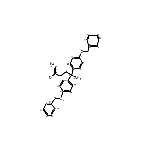 CC(CCC(=O)[O-])(c1ccc(OCc2ccccn2)cc1)c1ccc(OCc2ccccn2)cc1.[Na+]